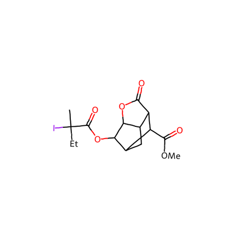 CCC(C)(I)C(=O)OC1C2CC3C1OC(=O)C3C2C(=O)OC